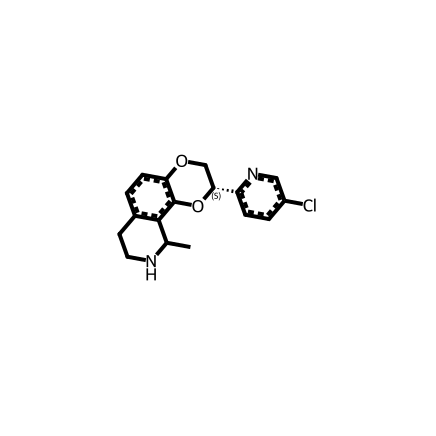 CC1NCCc2ccc3c(c21)O[C@@H](c1ccc(Cl)cn1)CO3